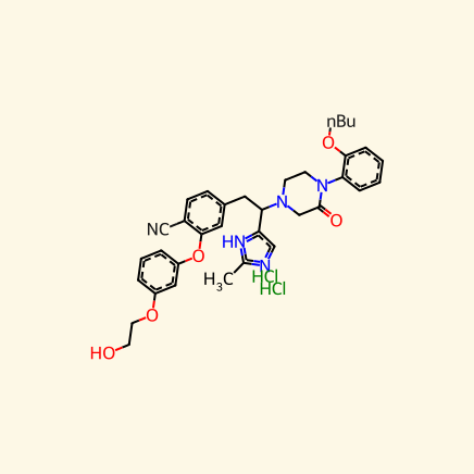 CCCCOc1ccccc1N1CCN(C(Cc2ccc(C#N)c(Oc3cccc(OCCO)c3)c2)c2cnc(C)[nH]2)CC1=O.Cl.Cl